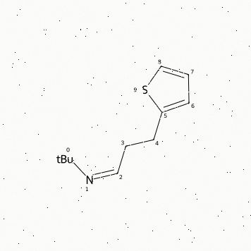 CC(C)(C)/N=C\CCc1cccs1